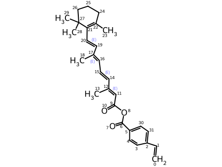 C=Cc1ccc(C(=O)OC(=O)/C=C(C)/C=C/C=C(C)/C=C/C2=C(C)CCCC2(C)C)cc1